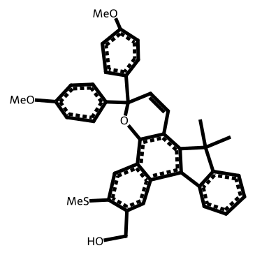 COc1ccc(C2(c3ccc(OC)cc3)C=Cc3c4c(c5cc(CO)c(SC)cc5c3O2)-c2ccccc2C4(C)C)cc1